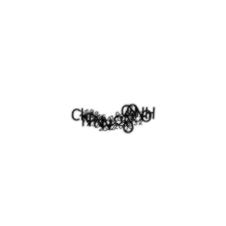 O=C1CCC(N2C(=O)c3ccc(CN4CCN(c5ccc(Cl)nc5)CC4)cc3C2=O)C(=O)N1